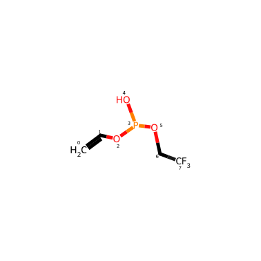 C=COP(O)OCC(F)(F)F